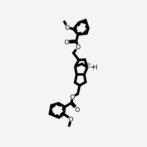 COc1ccccc1C(=O)OCC1CC2C3C[C@@H](CC3COC(=O)c3ccccc3OC)C2C1